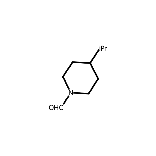 CC(C)C1CCN(C=O)CC1